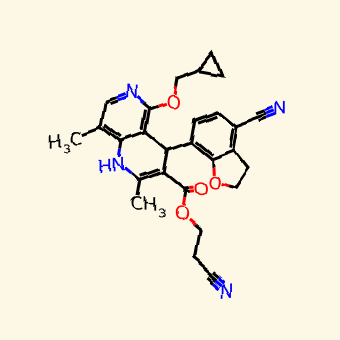 CC1=C(C(=O)OCCC#N)C(c2ccc(C#N)c3c2OCC3)c2c(OCC3CC3)ncc(C)c2N1